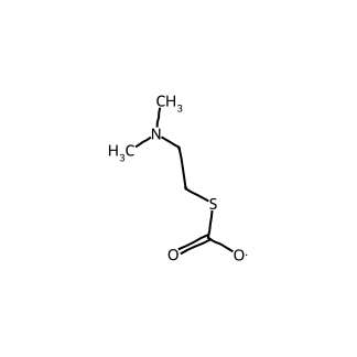 CN(C)CCSC([O])=O